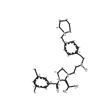 [C-]#[N+]/C(C#N)=C1\N(CCN(CC)Cc2ccc(CN3CCCCC3)cc2)CCN1C(=O)c1cc(C)cc(C)c1